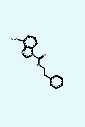 COc1cccc2c1ncn2C(=O)NCCc1ccccc1